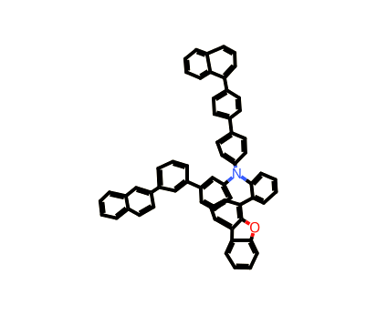 c1cc(-c2cccc(N(c3ccc(-c4ccc(-c5cccc6ccccc56)cc4)cc3)c3ccccc3-c3cccc4c3oc3ccccc34)c2)cc(-c2ccc3ccccc3c2)c1